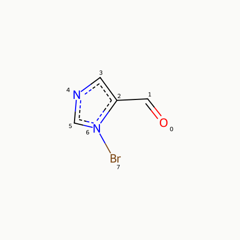 O=Cc1cncn1Br